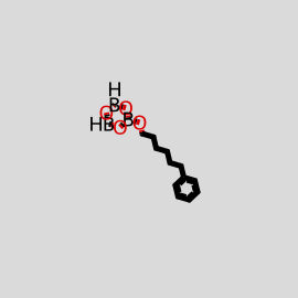 B1OBOB(OCCCCCCc2ccccc2)O1